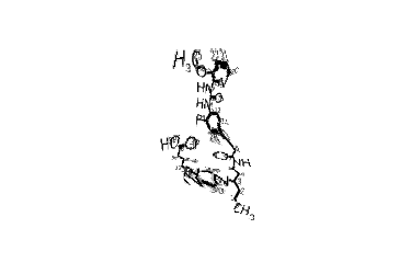 CCCC(CCNC(=O)Cc1ccc(NC(=O)Nc2ncccc2OC)c(F)c1)N1C=NN(CCCC(=O)O)C1